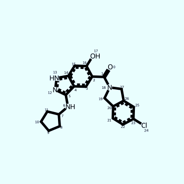 O=C(c1cc2c(NC3CCCC3)n[nH]c2cc1O)N1Cc2ccc(Cl)cc2C1